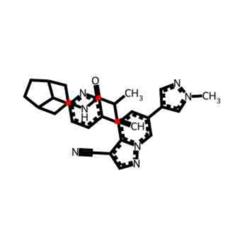 C=CC(C)C(=O)NC1CC2CCC(C1)C2c1ccc(-c2cc(-c3cnn(C)c3)cn3ncc(C#N)c23)cn1